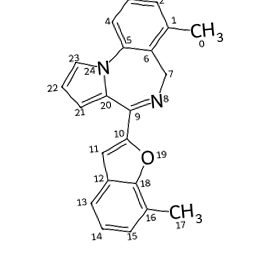 Cc1cccc2c1CN=C(c1cc3cccc(C)c3o1)c1cccn1-2